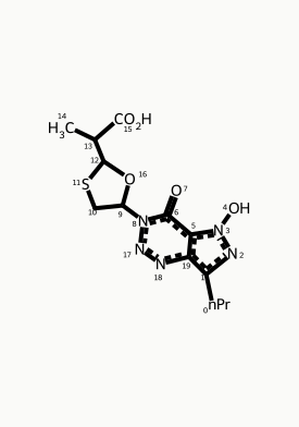 CCCc1nn(O)c2c(=O)n(C3CSC(C(C)C(=O)O)O3)nnc12